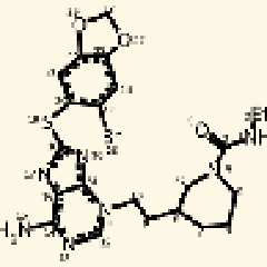 CCNC(=O)N1CCCC(CCn2cnc(N)c3nc(Sc4cc5c(cc4Br)OCO5)nc2-3)C1